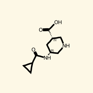 O=C(N[C@H]1CNC[C@@H](C(=O)O)C1)C1CC1